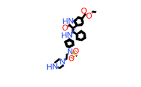 CCOC(=O)c1ccc2c(c1)NC(=O)/C2=C(\Nc1ccc(N(CCN2CCNCC2)S(C)(=O)=O)cc1)c1ccccc1